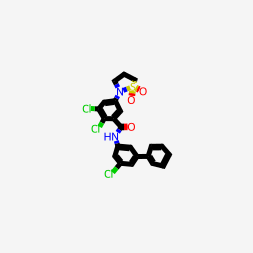 O=C(Nc1cc(Cl)cc(-c2ccccc2)c1)c1cc(N2CCCS2(=O)=O)cc(Cl)c1Cl